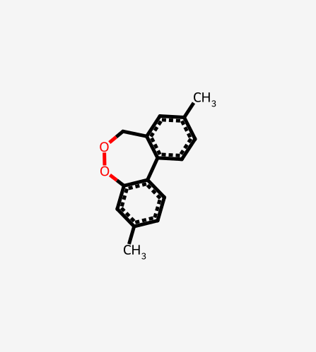 Cc1ccc2c(c1)COOc1cc(C)ccc1-2